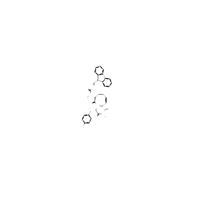 CN(CC(=O)O)C(=O)[C@H](Cc1ccc(C(F)(F)F)cc1)N1C/C=C\CC[C@H](N(C)C(=O)OCC2c3ccccc3-c3ccccc32)C1=O